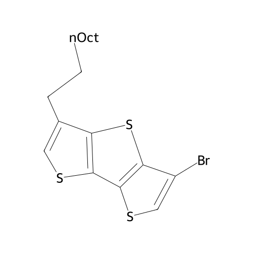 CCCCCCCCCCc1csc2c1sc1c(Br)csc12